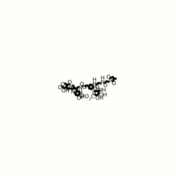 CC1CC(=O)N(CCC(=O)NCCC(=O)Nc2cc(COC(=O)NCc3c4c(nc5cc6c(cc35)OCO6)-c3cc5c(c(=O)n3C4)COC(=O)[C@H]5O)ccc2O[C@@H]2OC(C(=O)O)[C@@H](O)C(O)C2O)C1=O